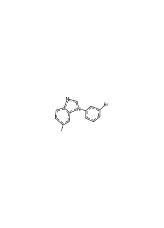 Cc1ccc2ncn(-c3cccc(Br)c3)c2c1